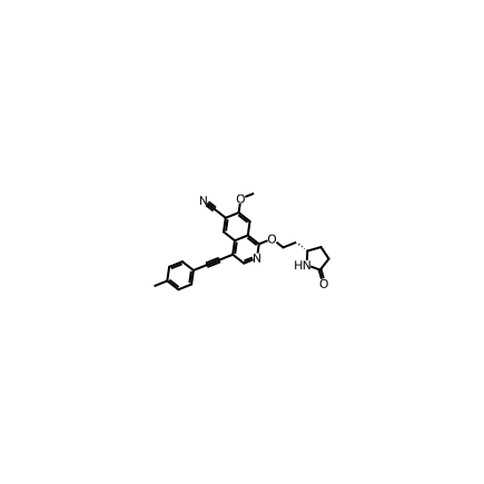 COc1cc2c(OCC[C@@H]3CCC(=O)N3)ncc(C#Cc3ccc(C)cc3)c2cc1C#N